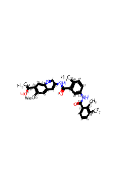 COc1cc2cc(NC(=O)c3cc(NC(=O)c4cccc(C(F)(F)F)c4C)ccc3C)cnc2cc1C(C)O